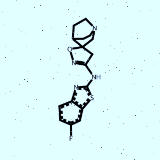 Fc1ccc2nc(NC3=NOC4(C3)CN3CCC4CC3)sc2c1